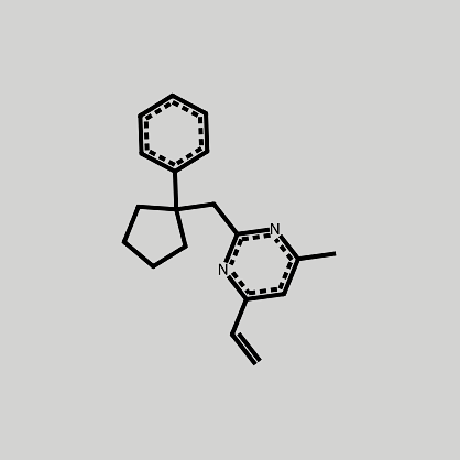 C=Cc1cc(C)nc(CC2(c3ccccc3)CCCC2)n1